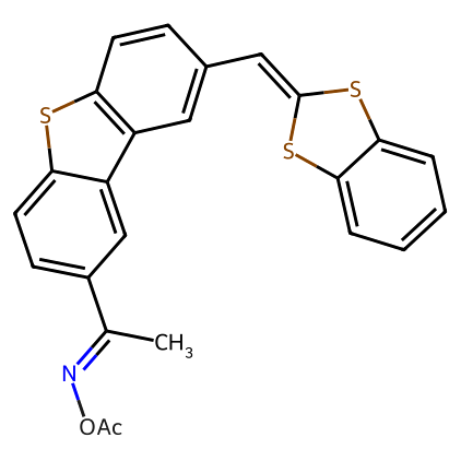 CC(=O)O/N=C(\C)c1ccc2sc3ccc(C=C4Sc5ccccc5S4)cc3c2c1